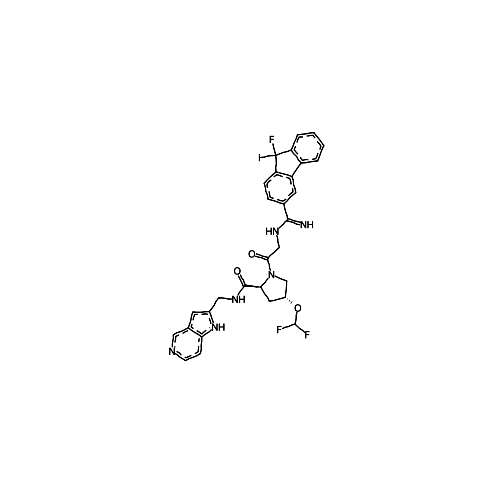 N=C(NCC(=O)N1C[C@H](OC(F)F)C[C@H]1C(=O)NCc1cc2cnccc2[nH]1)c1ccc2c(c1)-c1ccccc1C2(F)I